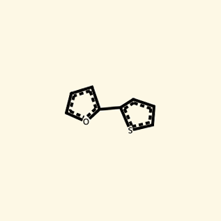 c1coc(-c2cccs2)c1